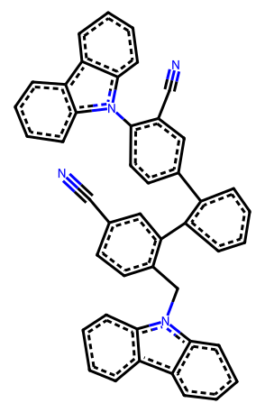 N#Cc1ccc(Cn2c3ccccc3c3ccccc32)c(-c2ccccc2-c2ccc(-n3c4ccccc4c4ccccc43)c(C#N)c2)c1